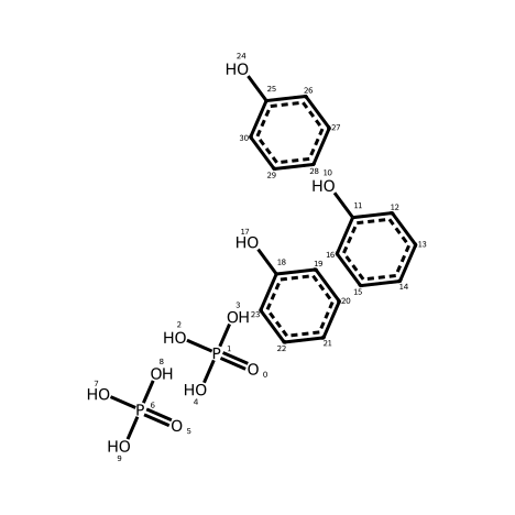 O=P(O)(O)O.O=P(O)(O)O.Oc1ccccc1.Oc1ccccc1.Oc1ccccc1